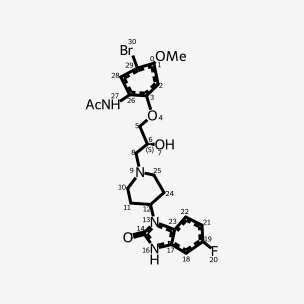 COc1cc(OC[C@@H](O)CN2CCC(n3c(=O)[nH]c4cc(F)ccc43)CC2)c(NC(C)=O)cc1Br